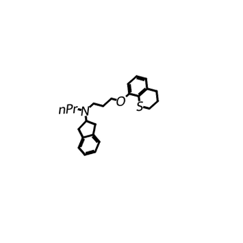 CCCN(CCCOc1cccc2c1SCCC2)C1Cc2ccccc2C1